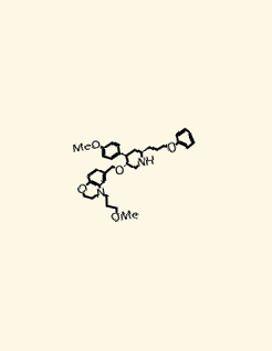 COCCCN1CCOc2ccc(CO[C@H]3CN[C@H](CCCOc4ccccc4)C[C@@H]3c3ccc(OC)cc3)cc21